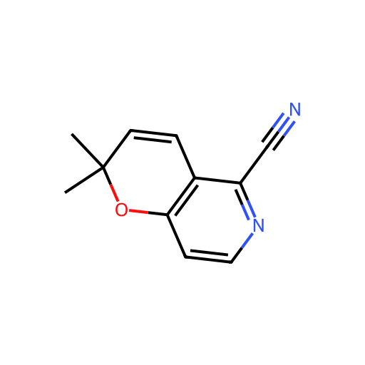 CC1(C)C=Cc2c(ccnc2C#N)O1